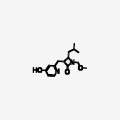 COCN1C(=O)C(Cc2cc(O)ccn2)C1CC(C)C